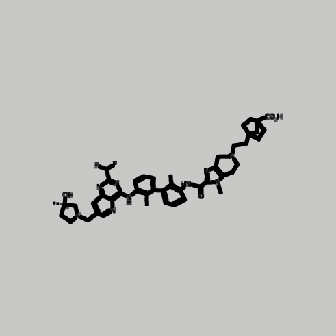 Cc1c(NC(=O)c2nc3c(n2C)CCN(CCC24CCC(C(=O)O)(CC2)C4)C3)cccc1-c1cccc(Nc2nc(C(F)F)nc3cc(CN4CC[C@@](C)(O)C4)cnc23)c1C